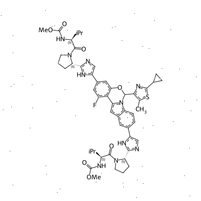 COC(=O)N[C@H](C(=O)N1CCC[C@H]1c1ncc(-c2cc(F)c3c(c2)OC(c2nc(C4CC4)sc2C)n2c-3cc3cc(-c4cnc([C@@H]5CCCN5C(=O)[C@@H](NC(=O)OC)C(C)C)[nH]4)ccc32)[nH]1)C(C)C